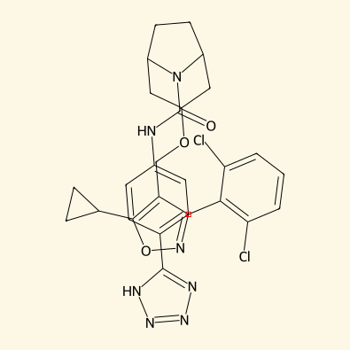 O=C(Nc1ccc(-c2nnn[nH]2)cc1)N1C2CCC1CC(OCc1c(-c3c(Cl)cccc3Cl)noc1C1CC1)C2